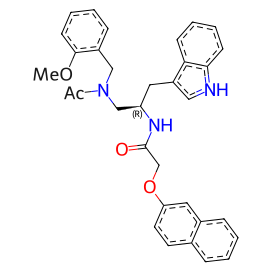 COc1ccccc1CN(C[C@@H](Cc1c[nH]c2ccccc12)NC(=O)COc1ccc2ccccc2c1)C(C)=O